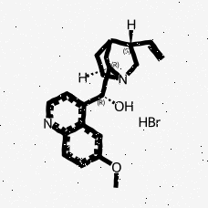 Br.C=C[C@@H]1CN2CCC1C[C@@H]2[C@H](O)c1ccnc2ccc(OC)cc12